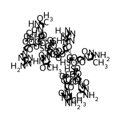 COP(=O)(S)OC1C[C@H](n2cnc3c(N)ncnc32)O[C@@H]1COP(=O)(S)OC1C[C@H](n2cc(C)c(=O)[nH]c2=O)O[C@@H]1COP(=O)(S)OC1C[C@H](n2cc(C)c(=O)[nH]c2=O)O[C@@H]1COP(=O)(S)OC1C[C@H](n2cnc3c(N)ncnc32)O[C@@H]1COP(=O)(S)OC1C[C@H](n2cc(C)c(N)nc2=O)O[C@@H]1COP(=O)(S)OC1C[C@H](n2cc(C)c(N)nc2=O)O[C@@H]1COP(=O)(S)OC1C[C@H](n2cc(C)c(N)nc2=O)O[C@@H]1C